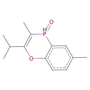 CC1=C(C(C)C)Oc2ccc(C)cc2[PH]1=O